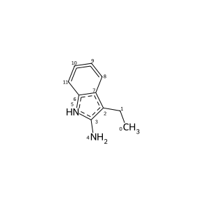 CCc1c(N)[nH]c2c1C=C=C=C2